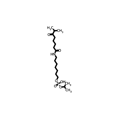 CC(C)OP(=O)(O)OCCCCCCCNC(=O)CCCCC(=O)C(C)C